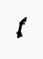 CCc1cc(N2CC(NC(=O)c3ccc(N4CCC(N5Cc6cc7c(cc6C5)C(=O)N(C5CCC(=O)NC5=O)C7=O)CC4)cc3)=C[C@@H]2C)ccc1C#N